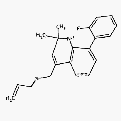 C=CCSCC1=CC(C)(C)Nc2c1cccc2-c1ccccc1F